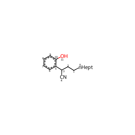 CCCCCCCCCC(C#N)c1ccccc1O